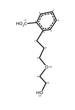 O=C(O)c1ccccc1CCCOCCO